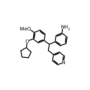 COc1ccc(C(Cc2ccncc2)c2cccc(N)c2)cc1OC1CCCC1